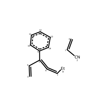 C=CC#N.C=CC(=C=CCC)c1ccccc1